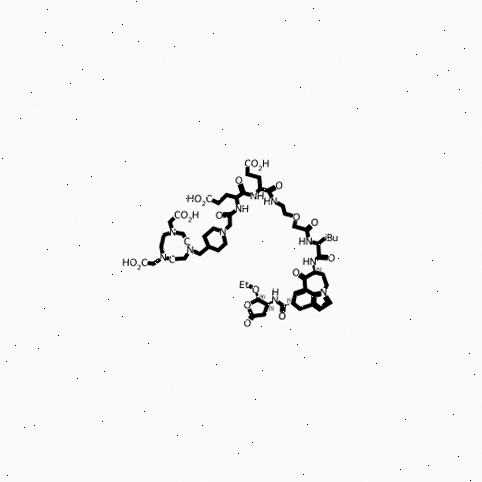 CCO[C@@H]1OC(=O)C[C@@H]1NC(=O)[C@@H]1C=C2C(=O)[C@@H](NC(=O)C(NC(=O)COCCNC(=O)C(CCC(=O)O)NC(=O)C(CCC(=O)O)NC(=O)CN3CCC(CN4CCN(CC(=O)O)CCN(CC(=O)O)CC4)CC3)C(C)CC)CCn3ccc(c32)C1